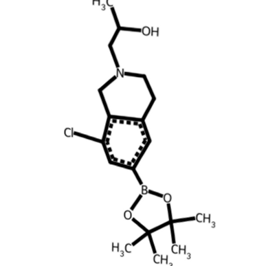 CC(O)CN1CCc2cc(B3OC(C)(C)C(C)(C)O3)cc(Cl)c2C1